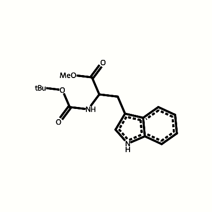 COC(=O)C(Cc1c[nH]c2ccccc12)NC(=O)OC(C)(C)C